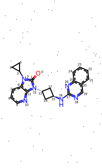 O=c1n(C2CC2)c2cccnc2n1[C@H]1C[C@H](Nc2ncc3ccccc3n2)C1